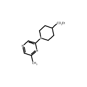 CCOC(=O)C1CCN(c2cncc(C)n2)CC1